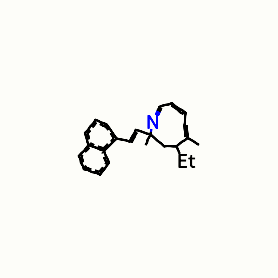 CCC1CC(C)(C=Cc2cccc3ccccc23)\N=C/C=C\C=C\1C